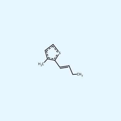 CCC=Cc1sccc1C